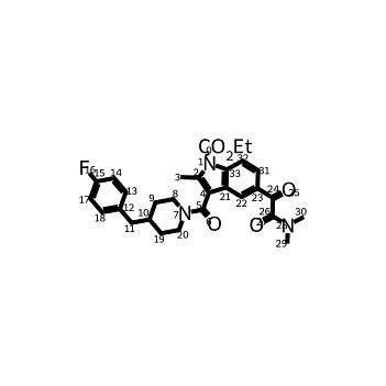 CCOC(=O)n1c(C)c(C(=O)N2CCC(Cc3ccc(F)cc3)CC2)c2cc(C(=O)C(=O)N(C)C)ccc21